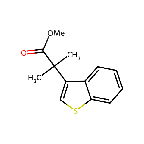 COC(=O)C(C)(C)c1csc2ccccc12